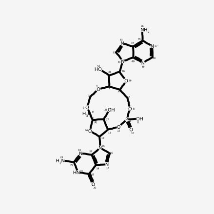 C[C@]12OCOC3C(COP(=O)(O)OC(C(n4cnc5c(=O)[nH]c(N)nc54)O1)C2O)OC(n1cnc2c(N)ncnc21)C3O